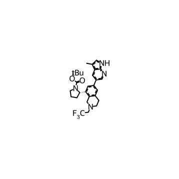 Cc1c[nH]c2ncc(-c3cc4c(c([C@@H]5CCCN5C(=O)OC(C)(C)C)c3)CN(CC(F)(F)F)CC4)cc12